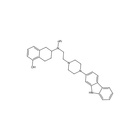 CCCN(CCN1CCN(c2ccc3c(c2)[nH]c2ccccc23)CC1)C1CCc2c(O)cccc2C1